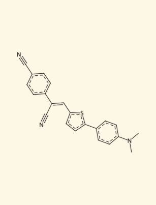 CN(C)c1ccc(-c2ccc(/C=C(\C#N)c3ccc(C#N)cc3)s2)cc1